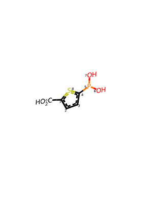 O=C(O)c1ccc(P(O)O)s1